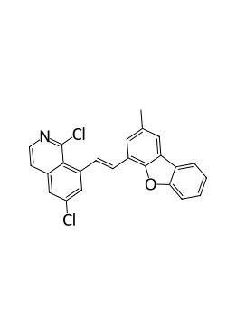 Cc1cc(/C=C/c2cc(Cl)cc3ccnc(Cl)c23)c2oc3ccccc3c2c1